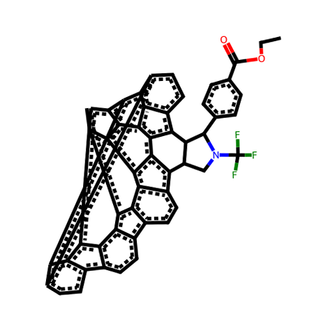 CCOC(=O)c1ccc(C2C3c4c5ccc6c7ccc8c9ccc%10c%11ccc%12c(c%13c4c4c5c6c5c7c8c6c9c%10c7c%11c%12c%13c8c4c5c6c78)C3CN2C(F)(F)F)cc1